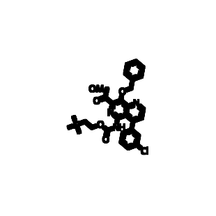 COC(=O)c1nc(NC(=O)OCC[Si](C)(C)C)c2c(-c3cccc(Cl)c3)ccnc2c1OCc1ccccc1